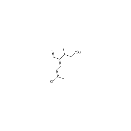 C=C/C(=C\C=C(/C)Cl)C(C)CC(C)(C)C